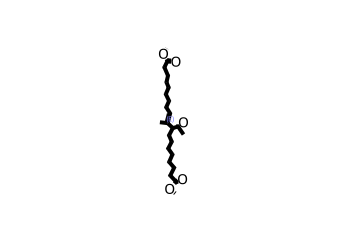 COC(=O)CCCCCCC/C=C(\C)C(CCCCCCCC(=O)OC)C(C)=O